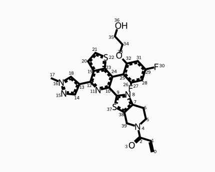 C=CC(=O)N1CCc2nc(-c3nc(-c4cnn(C)c4)c4ccsc4c3-c3c(F)cc(F)cc3OCCO)sc2C1